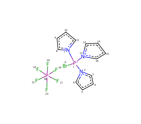 Br[P+](n1cccc1)(n1cccc1)n1cccc1.F[P-](F)(F)(F)(F)F